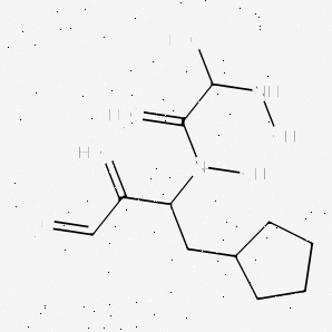 C=CC(=C)C(CC1CCCC1)N(C)C(=C)C(C)NC